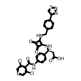 O=C(O)C[C@H](Nc1c(NCc2ccc(-c3csnn3)cc2)c(=O)c1=O)c1ccc(NC(=O)c2c(Cl)cncc2Cl)cc1